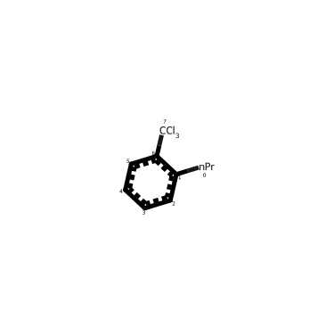 [CH2]CCc1ccccc1C(Cl)(Cl)Cl